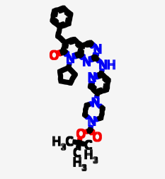 CC(C)(C)OC(=O)N1CCN(c2ccc(Nc3ncc4cc(Cc5ccccc5)c(=O)n(C5CCCC5)c4n3)nc2)CC1